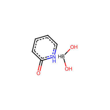 O=c1cccc[nH]1.OBO